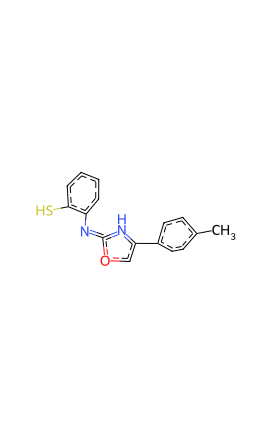 Cc1ccc(-c2coc(=Nc3ccccc3S)[nH]2)cc1